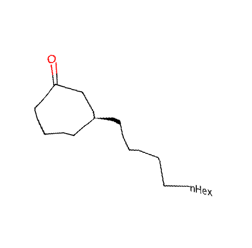 CCCCCCCCCC[C@H]1CCCC(=O)C1